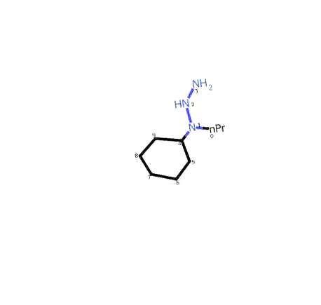 CCCN(NN)C1CCCCC1